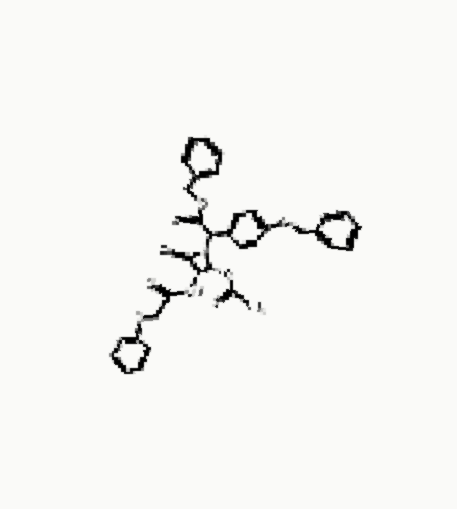 CC(=O)O[C@@H]1[C@@H](NC(=O)COc2ccccc2)C(=O)N1C(C(=O)OCc1ccccc1)c1ccc(OCc2ccccc2)cc1